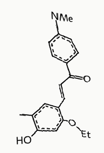 CCOc1cc(O)c(C)cc1C=CC(=O)c1ccc(NC)cc1